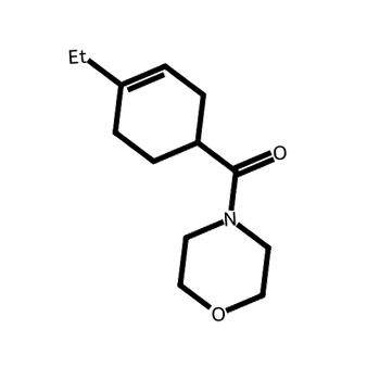 CCC1=CCC(C(=O)N2CCOCC2)CC1